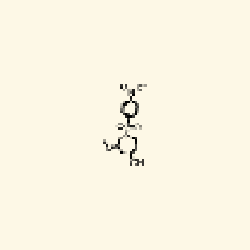 COC1CC(O)CCN(S(=O)(=O)c2ccc([N+](=O)[O-])cc2)C1